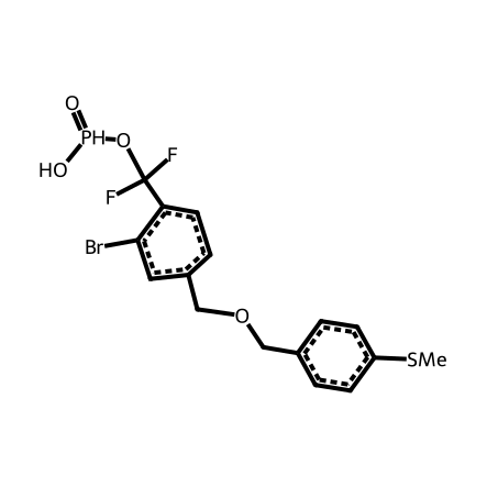 CSc1ccc(COCc2ccc(C(F)(F)O[PH](=O)O)c(Br)c2)cc1